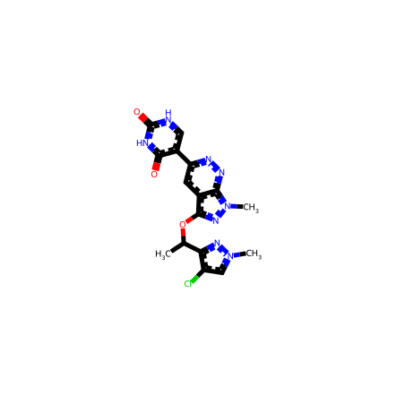 CC(Oc1nn(C)c2nnc(-c3c[nH]c(=O)[nH]c3=O)cc12)c1nn(C)cc1Cl